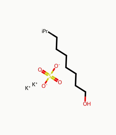 CC(C)CCCCCCCO.O=S(=O)([O-])[O-].[K+].[K+]